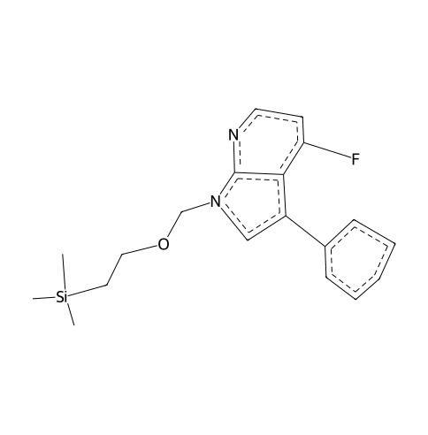 C[Si](C)(C)CCOCn1cc(-c2ccccc2)c2c(F)ccnc21